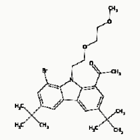 COCCOCCn1c2c(Br)cc(C(C)(C)C)cc2c2cc(C(C)(C)C)cc(C(C)=O)c21